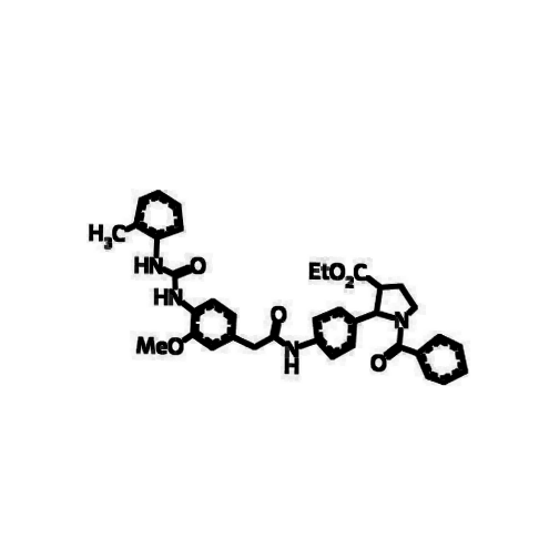 CCOC(=O)C1CCN(C(=O)c2ccccc2)C1c1ccc(NC(=O)Cc2ccc(NC(=O)Nc3ccccc3C)c(OC)c2)cc1